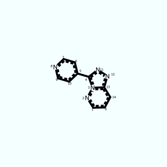 c1cnn2c(-c3ccncc3)nnc2c1